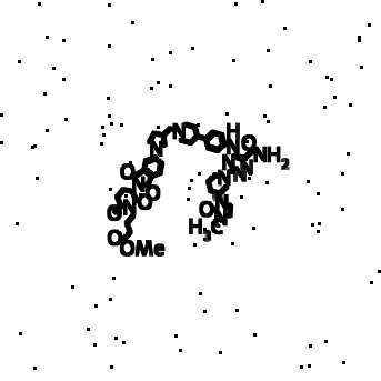 COC(=O)CCCN1C(=O)CCC(N2C(=O)c3ccc(N4CCC(CN5CCC(c6ccc(Nc7nc(N8CCC[C@@H](N9CCN(C)C9=O)C8)nnc7C(N)=O)cc6)CC5)C4)cc3C2=O)C1=O